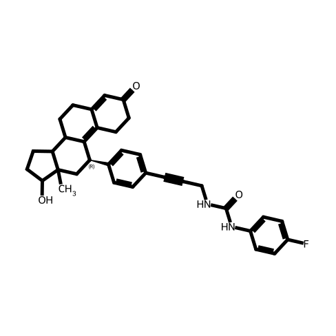 CC12C[C@H](c3ccc(C#CCNC(=O)Nc4ccc(F)cc4)cc3)C3=C4CCC(=O)C=C4CCC3C1CCC2O